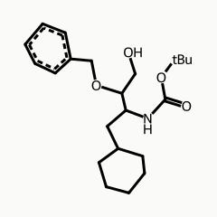 CC(C)(C)OC(=O)NC(CC1CCCCC1)C(CO)OCc1ccccc1